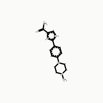 CN1CCN(c2ccc(-c3nc(C(N)=O)co3)cc2)CC1